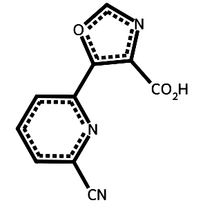 N#Cc1cccc(-c2ocnc2C(=O)O)n1